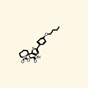 CCCCOc1ccc(-c2ccc([C@@]3(CC(=O)O)CCCCS3(=O)=O)s2)cc1